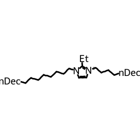 CCCCCCCCCCCCCCCCCCn1cc[n+](CCCCCCCCCCCCCC)c1CC